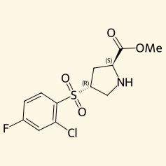 COC(=O)[C@@H]1C[C@@H](S(=O)(=O)c2ccc(F)cc2Cl)CN1